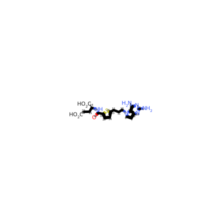 Nc1nc(N)c2c(ccn2CCCc2ccc(C(=O)N[C@H](CCC(=O)O)C(=O)O)s2)n1